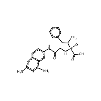 CC(Cc1ccccc1)[N+]([O-])(NCC(=O)Nc1ccc2nc(N)nc(N)c2c1)C(=O)O